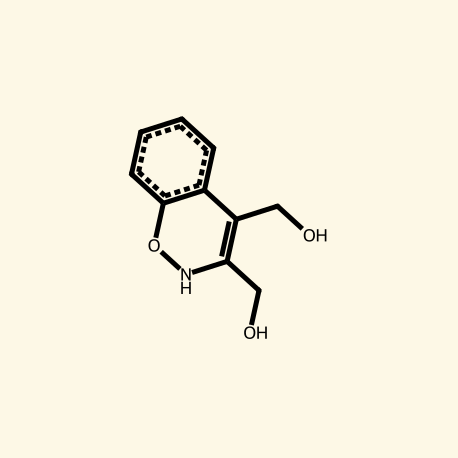 OCC1=C(CO)c2ccccc2ON1